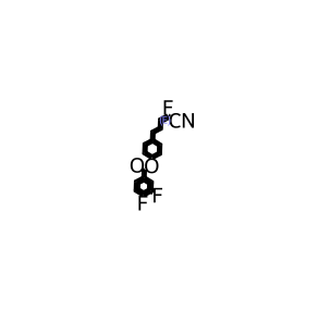 N#C/C(F)=C\CCC1CCC(OC(=O)c2ccc(F)c(F)c2)CC1